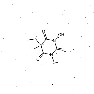 CC[N+]1(C)C(=O)N(O)C(=O)N(O)C1=O